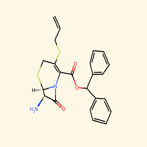 C=CCSC1=C(C(=O)OC(c2ccccc2)c2ccccc2)N2C(=O)[C@@H](N)[C@H]2SC1